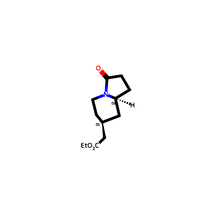 CCOC(=O)C[C@H]1CCN2C(=O)CC[C@H]2C1